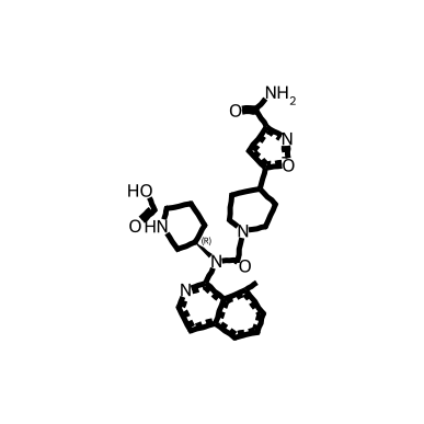 Cc1cccc2ccnc(N(C(=O)N3CCC(c4cc(C(N)=O)no4)CC3)[C@@H]3CCCNC3)c12.O=CO